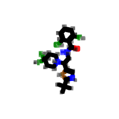 CC(C)(C)c1ncc(C(CNC(=O)c2c(F)cccc2Cl)N2CCC(F)(F)CC2)s1